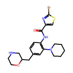 O=C(Nc1ccc(CC2CNCCO2)cc1N1CCCCC1)c1csc(Br)n1